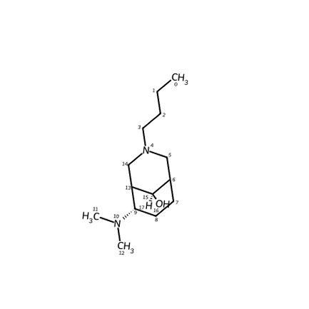 CCCCN1CC2CC[C@H](N(C)C)C(C1)[C@@H]2O